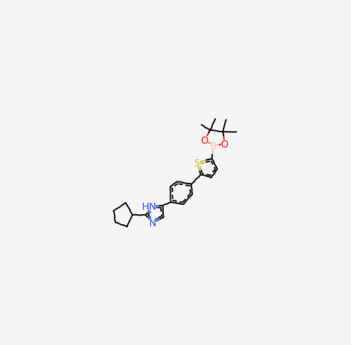 CC1(C)OB(c2ccc(-c3ccc(-c4cnc(C5CCCC5)[nH]4)cc3)s2)OC1(C)C